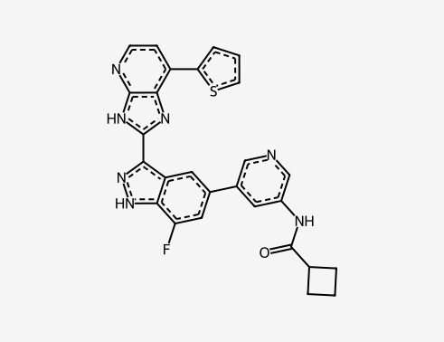 O=C(Nc1cncc(-c2cc(F)c3[nH]nc(-c4nc5c(-c6cccs6)ccnc5[nH]4)c3c2)c1)C1CCC1